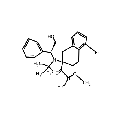 CON(C)C(=O)[C@]1(N([C@H](CO)c2ccccc2)C(C)(C)C)CCc2c(Br)cccc2C1